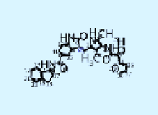 Cc1[nH]c(/C=C2\C(=O)Nc3ccc(C(=O)N[C@@H]4CCc5ccccc54)cc32)c(C)c1NC(=O)C(O)c1ccco1